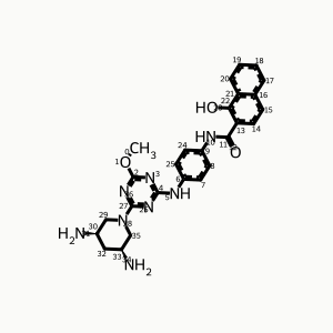 COc1nc(Nc2ccc(NC(=O)c3ccc4ccccc4c3O)cc2)nc(N2C[C@H](N)C[C@H](N)C2)n1